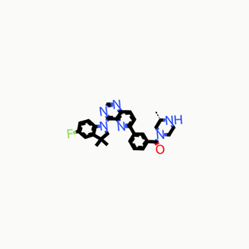 C[C@H]1CN(C(=O)c2cccc(-c3ccc4ncnc(N5CC(C)(C)c6cc(F)ccc65)c4n3)c2)CCN1